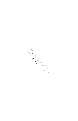 CNC(=O)C(NC(=O)C(=O)c1c(C)c(C(=O)Nc2ccc(F)c(C)c2)c(C)n1C)C(C)(C)C